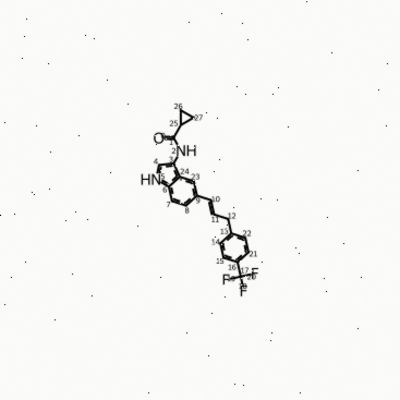 O=C(Nc1c[nH]c2ccc(C=CCc3ccc(C(F)(F)F)cc3)cc12)C1CC1